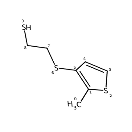 Cc1sccc1SCCS